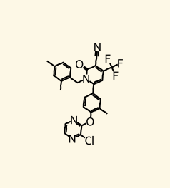 Cc1ccc(Cn2c(-c3ccc(Oc4nccnc4Cl)c(C)c3)cc(C(F)(F)F)c(C#N)c2=O)c(C)c1